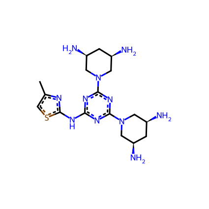 Cc1csc(Nc2nc(N3C[C@H](N)C[C@H](N)C3)nc(N3C[C@H](N)C[C@H](N)C3)n2)n1